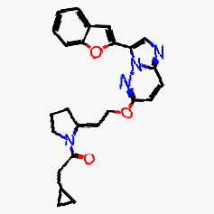 O=C(CC1CC1)N1CCCC1CCOc1ccc2ncc(-c3cc4ccccc4o3)n2n1